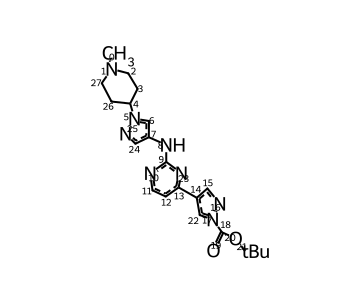 CN1CCC(n2cc(Nc3nccc(-c4cnn(C(=O)OC(C)(C)C)c4)n3)cn2)CC1